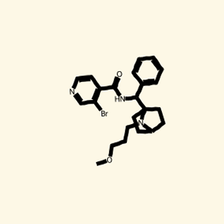 COCCCN1C2CCC1(C(NC(=O)c1ccncc1Br)c1ccccc1)CC2